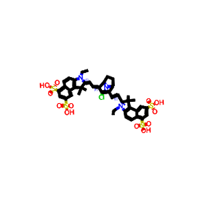 CCN1/C(=C/C=C2C(Cl)=C(/C=C/C3=[N+](CC)c4ccc5c(S(=O)(=O)O)cc(S(=O)(=O)O)cc5c4C3(C)C)C3CCC/2N3C)C(C)(C)c2c1ccc1c(S(=O)(=O)O)cc(S(=O)(=O)O)cc21